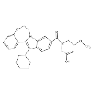 COCCN(CC(=O)O)C(=O)c1ccc2c(C3CCCCC3)c3n(c2c1)CCOc1ccccc1-3